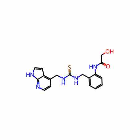 O=C(CO)Nc1ccccc1CNC(=S)NCc1ccnc2[nH]ccc12